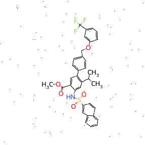 COC(=O)c1cc(-c2ccc(COc3cccc(C(F)(F)F)c3)cc2)c(C(C)C)cc1NS(=O)(=O)c1ccc2ccccc2c1